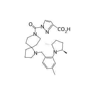 Cc1ccc(CN2CCCC23CCN(C(=O)n2ccc(C(=O)O)n2)CC3)c(N2[C@H](C)CC[C@H]2C)c1